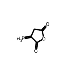 O=C1CC(=[PH3])C(=O)O1